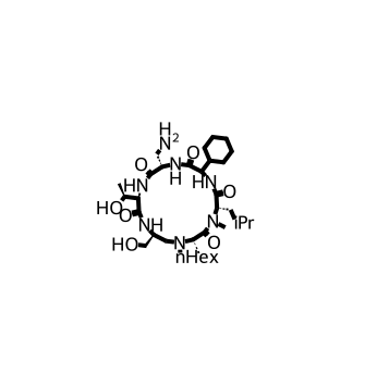 CCCCCCN1C[C@@H](CO)NC(=O)[C@H]([C@H](C)O)NC(=O)[C@H](CN)NC(=O)C(C2CCCCC2)NC(=O)[C@H](CC(C)C)N(C)C(=O)[C@@H]1C